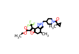 CCOC(=O)c1oc2c(c1C(F)(F)F)-c1nn(CC3CCN(C(=O)C4(C)CC4)CC3)cc1C(C)C2